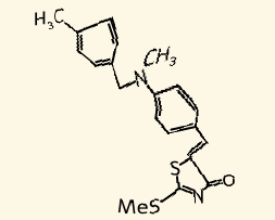 CSC1=NC(=O)C(=Cc2ccc(N(C)Cc3ccc(C)cc3)cc2)S1